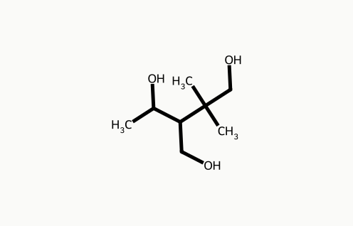 CC(O)C(CO)C(C)(C)CO